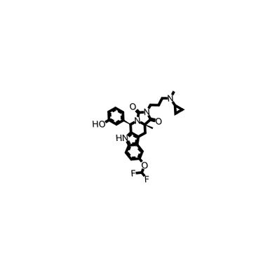 CN(CCCN1C(=O)N2[C@H](c3cccc(O)c3)c3[nH]c4ccc(OC(F)F)cc4c3C[C@@]2(C)C1=O)C1CC1